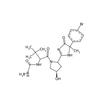 BBC(=O)NC(C(=O)N1C[C@H](O)CC1C1=NC(=O)C(C)(c2ccc(Br)cc2)N1)C(C)(C)C